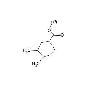 CCCOC(=O)C1CCC(C)C(C)C1